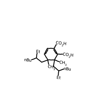 CCCCC(CC)CC1(C)C=CC(C(=O)O)=C(C(=O)O)C1(C)CC(CC)CCCC